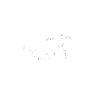 COc1ccc(C(=C\C(=O)N2CCOCC2)/C=C/c2ccc(Oc3ccc(C(F)(F)F)cc3)cc2)cc1OC